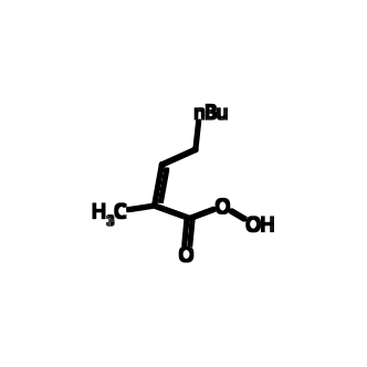 CCCCCC=C(C)C(=O)OO